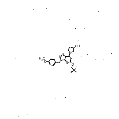 COc1ccc(Cn2nnc3c(N4CCC(O)C4)nc(OCC(F)(F)F)nc32)cc1